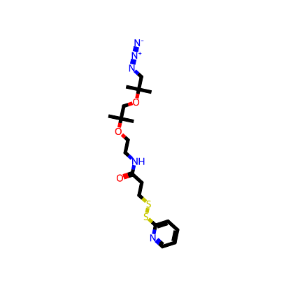 CC(C)(CN=[N+]=[N-])OCC(C)(C)OCCNC(=O)CCSSc1ccccn1